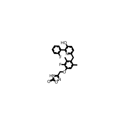 Cc1cc(OCc2noc(=O)[nH]2)c(F)c(C)c1Cc1ccc(O)c(-c2ccccc2F)n1